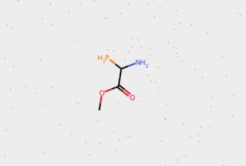 COC(=O)C(N)P